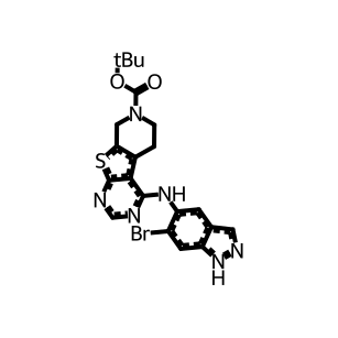 CC(C)(C)OC(=O)N1CCc2c(sc3ncnc(Nc4cc5cn[nH]c5cc4Br)c23)C1